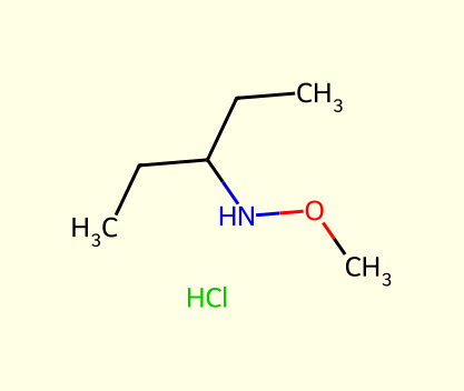 CCC(CC)NOC.Cl